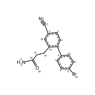 N#Cc1ccc(-c2ccc(Br)cc2)c(CCC(N)=O)c1